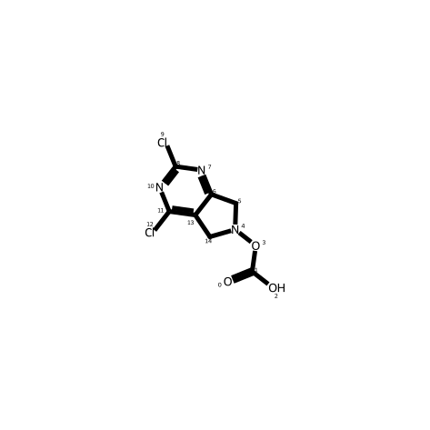 O=C(O)ON1Cc2nc(Cl)nc(Cl)c2C1